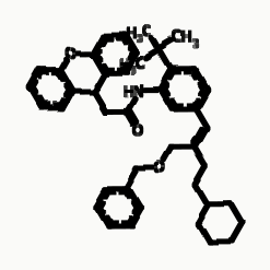 CC(C)(C)c1ccc(C=C(CCC2CCCCC2)COCc2ccccc2)cc1NC(=O)CC1c2ccccc2Oc2ccccc21